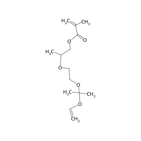 C=COC(C)(C)OCCOC(C)COC(=O)C(=C)C